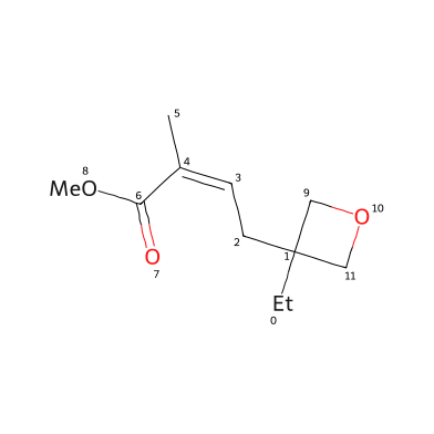 CCC1(CC=C(C)C(=O)OC)COC1